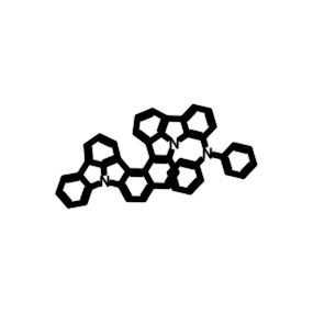 c1ccc(N(c2ccccc2)c2cccc3c4cccc5c6c7c(ccc8c7c7cccc9c%10ccccc%10n8c97)ccc6n(c23)c45)cc1